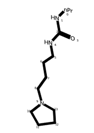 CCCNC(=O)NCCCCN1C[CH]CC1